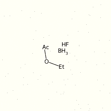 B.CCOC(C)=O.F